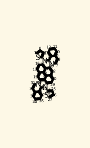 c1csc(N(c2nccc3ccccc23)c2ccc3ccc4c(N(c5cccs5)c5nccc6ccccc56)ccc5ccc2c3c54)c1